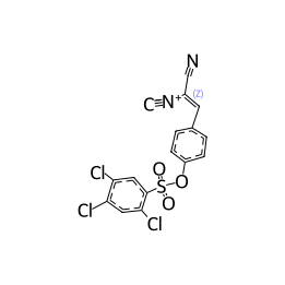 [C-]#[N+]/C(C#N)=C\c1ccc(OS(=O)(=O)c2cc(Cl)c(Cl)cc2Cl)cc1